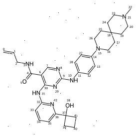 C=CCNC(=O)c1cnc(Nc2ccc(N3CCC4(CCN(C)CC4)CC3)cc2)nc1Nc1cccc(C2(O)CCC2)n1